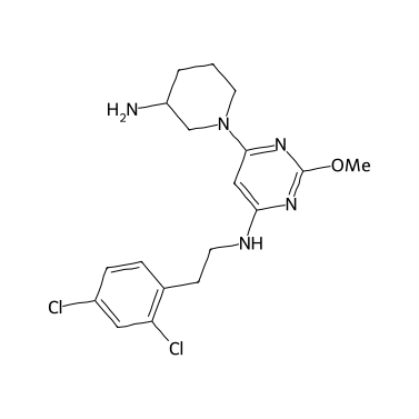 COc1nc(NCCc2ccc(Cl)cc2Cl)cc(N2CCCC(N)C2)n1